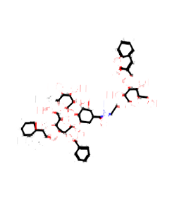 CCC1CC(C(=O)NCCO[C@H]2OC(CO)[C@@H](O)C(OCc3cc4ccccc4oc3=O)C2O)C[C@@H](O[C@@H]2OC(CO)[C@H](O)C(O[C@@H](CC3CCCCC3)C(=O)O)C2OC(=O)c2ccccc2)C1O[C@@H]1OC(C)[C@@H](O)C(O)C1O